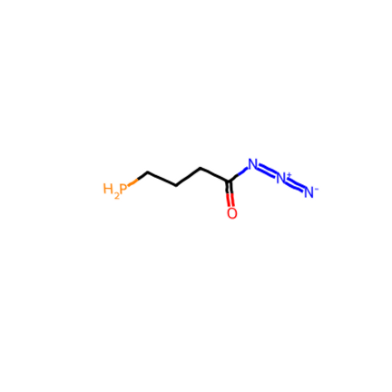 [N-]=[N+]=NC(=O)CCCP